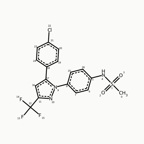 CS(=O)(=O)Nc1ccc(-n2nc(C(F)(F)F)cc2-c2ccc(Cl)cc2)cc1